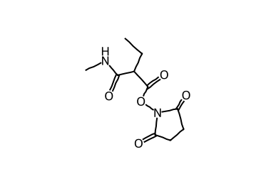 CCC(C(=O)NC)C(=O)ON1C(=O)CCC1=O